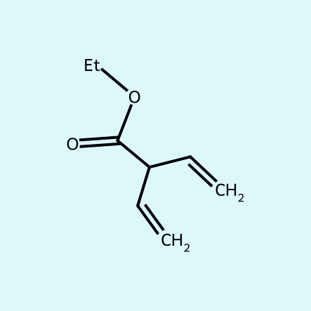 C=CC(C=C)C(=O)OCC